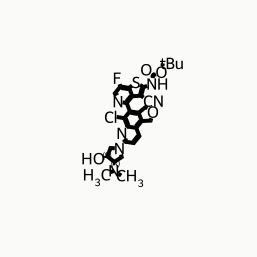 CN(C)[C@@H]1CN(c2ccc3c4c(c(-c5ncc(F)c6sc(NC(=O)OC(C)(C)C)c(C#N)c56)c(Cl)c3n2)COC4)C[C@@H]1O